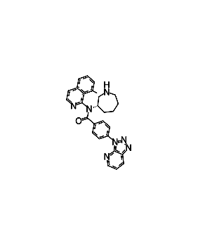 Cc1cccc2ccnc(N(C(=O)c3ccc(-n4nnc5cccnc54)cc3)[C@H]3CCCCNC3)c12